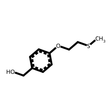 CSCCOc1ccc(CO)cc1